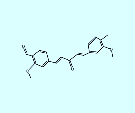 COc1cc(/C=C/C(=O)/C=C/c2ccc(C=O)c(OC)c2)ccc1C